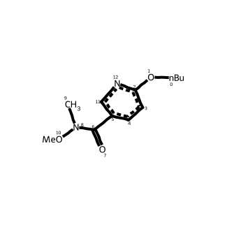 CCCCOc1ccc(C(=O)N(C)OC)cn1